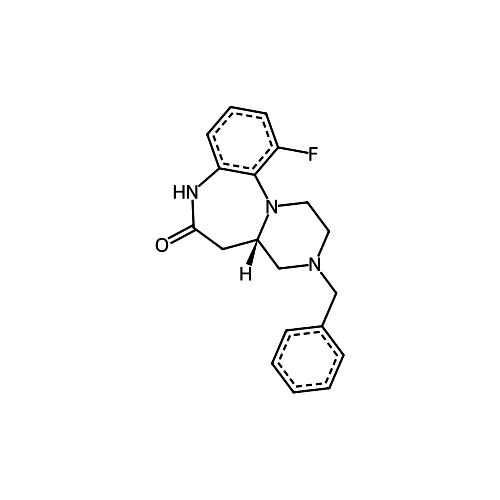 O=C1C[C@H]2CN(Cc3ccccc3)CCN2c2c(F)cccc2N1